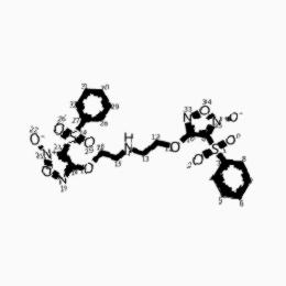 O=S(=O)(c1ccccc1)c1c(OCCNCCOc2no[n+]([O-])c2S(=O)(=O)c2ccccc2)no[n+]1[O-]